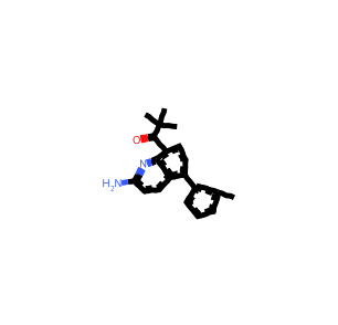 Cc1cccc(-c2ccc(C(=O)C(C)(C)C)c3nc(N)ccc23)c1